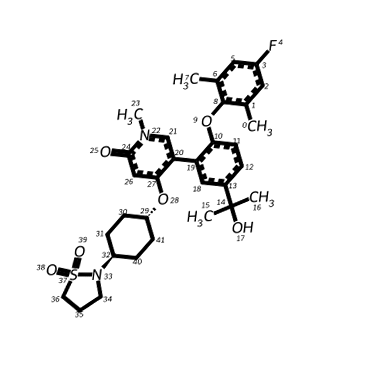 Cc1cc(F)cc(C)c1Oc1ccc(C(C)(C)O)cc1-c1cn(C)c(=O)cc1O[C@H]1CC[C@H](N2CCCS2(=O)=O)CC1